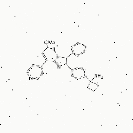 COC1=NN2C(=NC(c3ccc(C4(N)CCC4)cc3)C2c2ccccc2)C(c2ccncc2)=C1